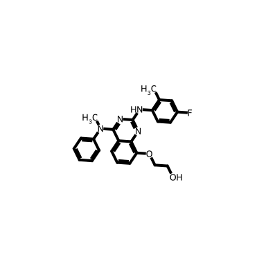 Cc1cc(F)ccc1Nc1nc(N(C)c2ccccc2)c2cccc(OCCO)c2n1